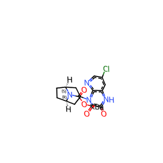 CC(C)(C)OC(=O)N1[C@@H]2CC[C@H]1CC(n1c(=O)c(=O)[nH]c3cc(Cl)cnc31)C2